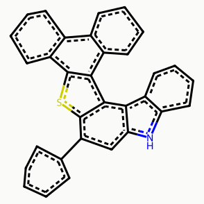 c1ccc(-c2cc3[nH]c4ccccc4c3c3c2sc2c4ccccc4c4ccccc4c23)cc1